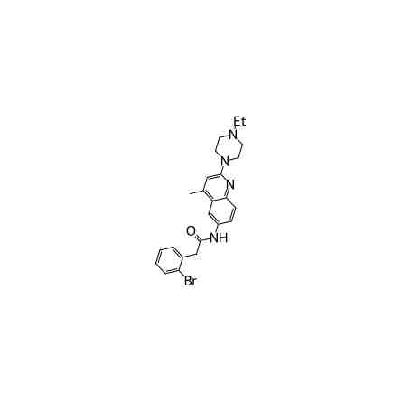 CCN1CCN(c2cc(C)c3cc(NC(=O)Cc4ccccc4Br)ccc3n2)CC1